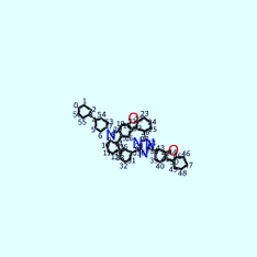 c1ccc(-c2ccc(-n3c4ccccc4c4cc5c(cc43)oc3cccc(-c4nc(-c6ccccc6)nc(-c6ccc7c(c6)oc6ccccc67)n4)c35)cc2)cc1